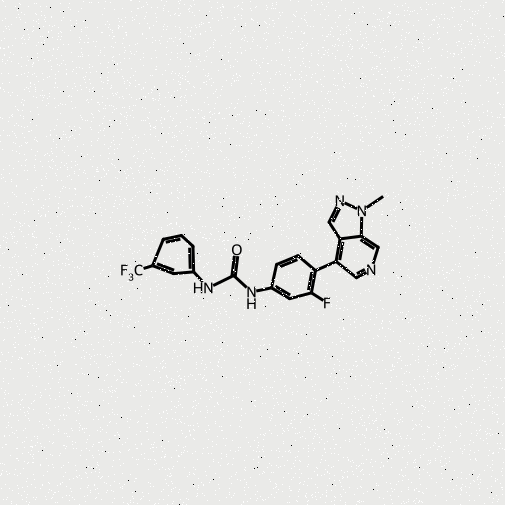 Cn1ncc2c(-c3ccc(NC(=O)Nc4cccc(C(F)(F)F)c4)cc3F)cncc21